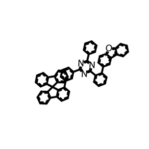 c1ccc(-c2nc(-c3cccc(-c4cccc5c4C4(c6ccccc6-c6ccccc64)c4ccccc4-5)c3)nc(-c3ccccc3-c3ccc4oc5ccccc5c4c3)n2)cc1